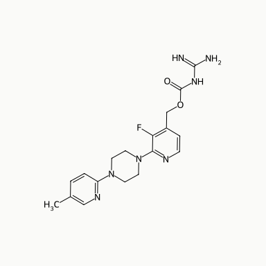 Cc1ccc(N2CCN(c3nccc(COC(=O)NC(=N)N)c3F)CC2)nc1